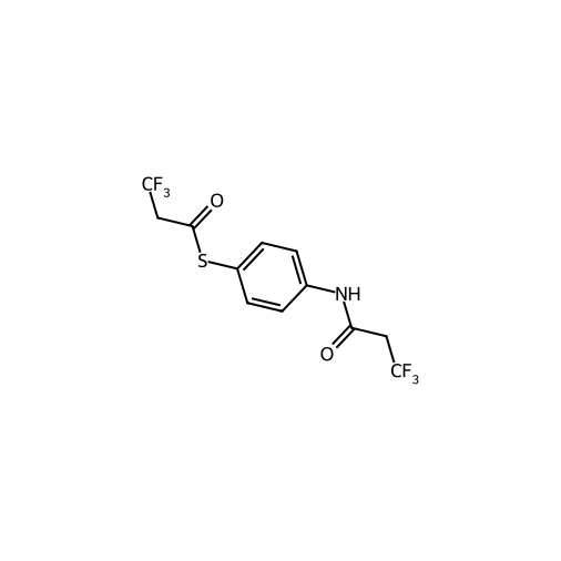 O=C(CC(F)(F)F)Nc1ccc(SC(=O)CC(F)(F)F)cc1